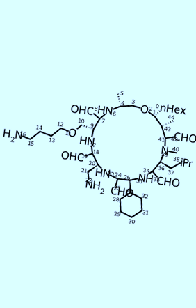 CCCCCC[C@H]1OC[C@@H](C)NC(C=O)[C@@H](COCCCCN)NC(C=O)[C@H](CN)NC(C=O)[C@H](C2CCCCC2)NC(C=O)[C@H](CC(C)C)N(C)C(C=O)[C@H]1C